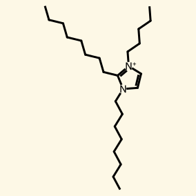 CCCCCCCCc1n(CCCCCCCC)cc[n+]1CCCCC